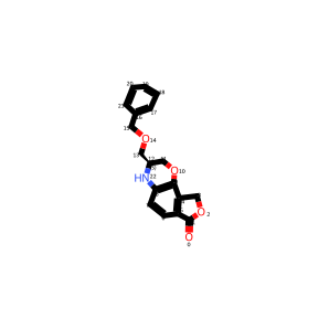 O=C1OCc2c1ccc1c2OC[C@H](COCc2ccccc2)N1